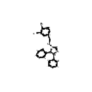 Fc1ccc(CSN2C=NC(c3ccccc3)C2c2ccccc2)cc1F